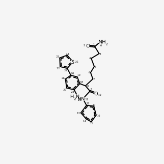 NC(=O)CCCCCC(C(=O)Nc1ccccc1)c1cc(-c2cccs2)ccc1N